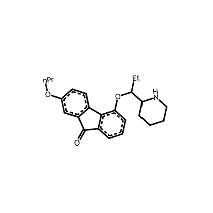 CCCOc1ccc2c(c1)C(=O)c1cccc(OC(CC)C3CCCCN3)c1-2